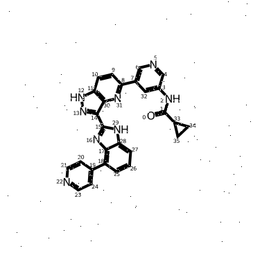 O=C(Nc1cncc(-c2ccc3[nH]nc(-c4nc5c(-c6ccncc6)cccc5[nH]4)c3n2)c1)C1CC1